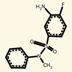 CN(c1ccccc1)S(=O)(=O)c1ccc(F)c(N)c1